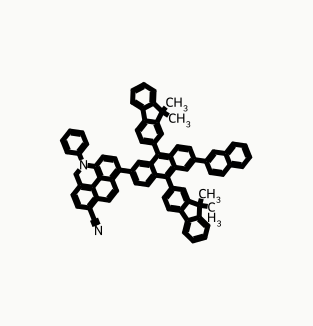 CC1(C)c2ccccc2-c2ccc(-c3c4ccc(-c5ccc6c7c5ccc5c(C#N)ccc(c57)CN6c5ccccc5)cc4c(-c4ccc5c(c4)C(C)(C)c4ccccc4-5)c4ccc(-c5ccc6ccccc6c5)cc34)cc21